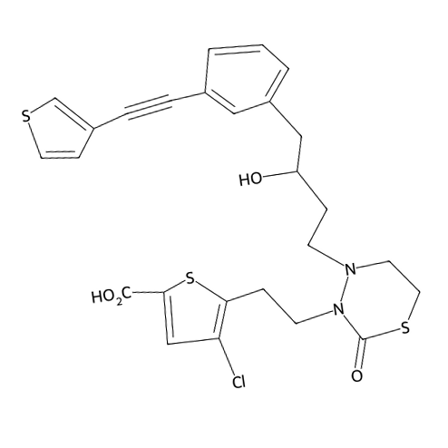 O=C(O)c1cc(Cl)c(CCN2C(=O)SCCN2CCC(O)Cc2cccc(C#Cc3ccsc3)c2)s1